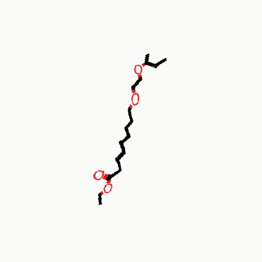 CCOC(=O)CCCCCCCCOCCOC(C)CC